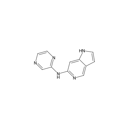 c1cnc(Nc2cc3[nH]ccc3cn2)cn1